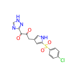 O=C(Cc1c[nH]c(S(=O)(=O)c2ccc(Cl)cc2)c1)C(=O)c1nc[nH]n1